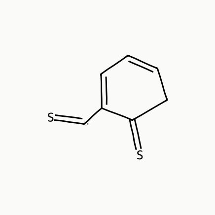 S=[C]C1=CC=CCC1=S